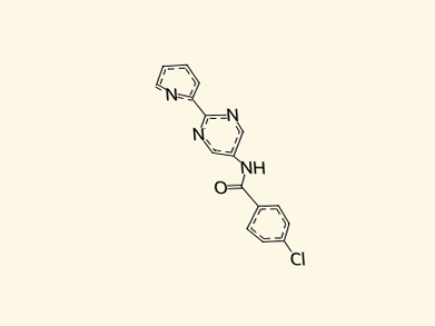 O=C(Nc1cnc(-c2ccccn2)nc1)c1ccc(Cl)cc1